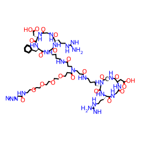 [N-]=[N+]=NCC(=O)NCCOCCOCCOCCOCCC(=O)N(CCC(=O)NCCCC[C@@H]1NC(=O)CNC(=O)C(CC(=O)O)NC(=O)CNC(=O)[C@H](CCCNC(=N)N)NC1=O)CCC(=O)NCCCC[C@@H]1NC(=O)[C@@H](Cc2ccccc2)NC(=O)[C@H](CC(=O)O)NC(=O)CNC(=O)[C@H](CCCNC(=N)N)NC1=O